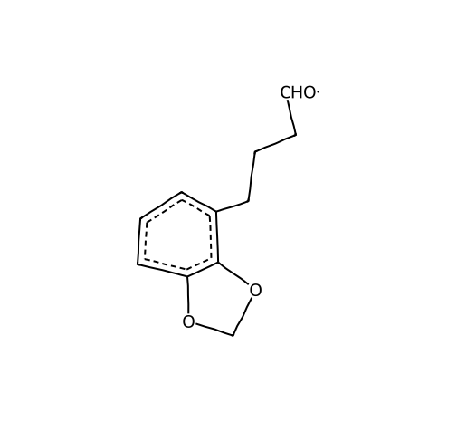 O=[C]CCCc1cccc2c1OCO2